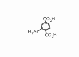 O=C(O)c1ccc(C(=O)O)c([AsH2])c1